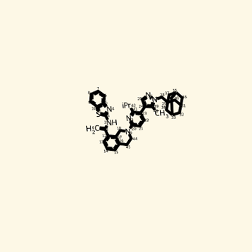 C=C(Nc1nc2ccccc2s1)c1cccc2c1CN(c1ccc(-c3cnn(CC45CC6CC(CC(C6)C4)C5)c3C)c(C(C)C)n1)CC2